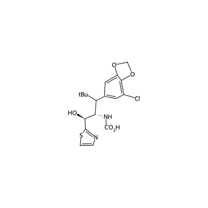 CC(C)(C)C(c1cc(Cl)c2c(c1)OCO2)[C@H](NC(=O)O)[C@H](O)c1nccs1